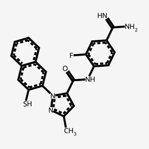 Cc1cc(C(=O)Nc2ccc(C(=N)N)cc2F)n(-c2cc3ccccc3cc2S)n1